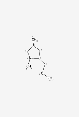 COCC1CC(C)CN1C